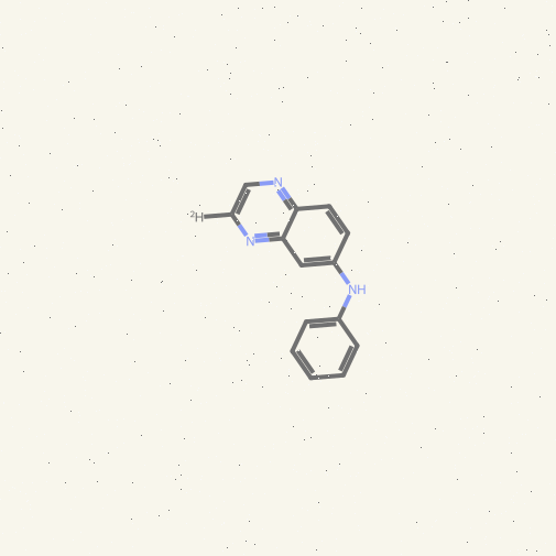 [2H]c1cnc2ccc(Nc3ccccc3)cc2n1